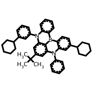 CC(C)(C)c1cc2c3c(c1)N(c1ccccc1)c1cc(C4CCCCC4)ccc1B3c1ccccc1N2c1cccc(C2CCCCC2)c1